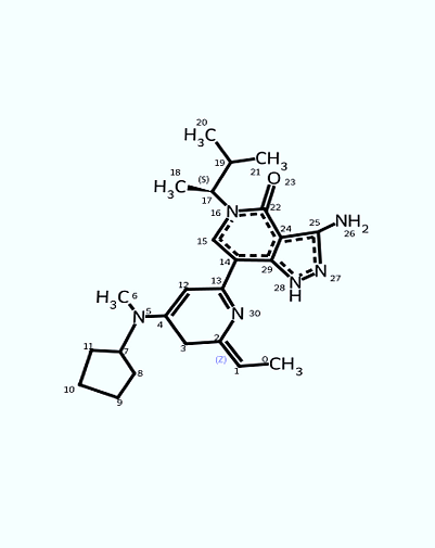 C/C=C1/CC(N(C)C2CCCC2)=CC(c2cn([C@@H](C)C(C)C)c(=O)c3c(N)n[nH]c23)=N1